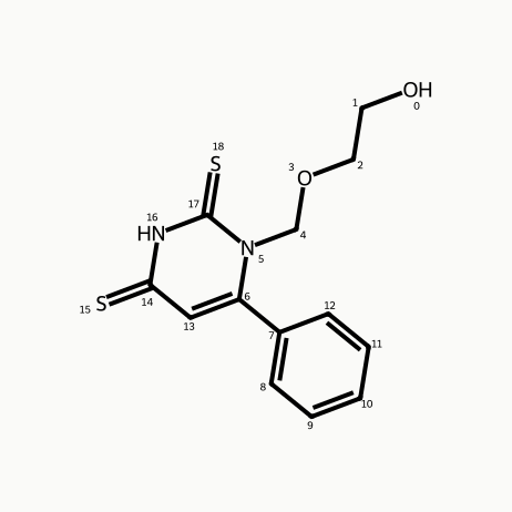 OCCOCn1c(-c2ccccc2)cc(=S)[nH]c1=S